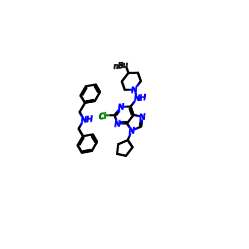 CCCCC1CCN(Nc2nc(Cl)nc3c2ncn3C2CCCC2)CC1.c1ccc(CNCc2ccccc2)cc1